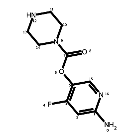 Nc1cc(F)c(OC(=O)N2CCNCC2)cn1